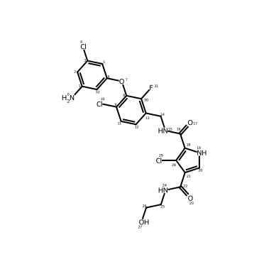 Nc1cc(Cl)cc(Oc2c(Cl)ccc(CNC(=O)c3[nH]cc(C(=O)NCCO)c3Cl)c2F)c1